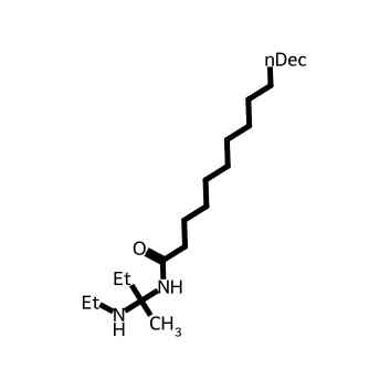 CCCCCCCCCCCCCCCCCCCC(=O)NC(C)(CC)NCC